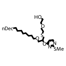 CCCCCCCCCCCCCCCCCCOCC(CSCCOCCO)Oc1ccnc(SC)n1